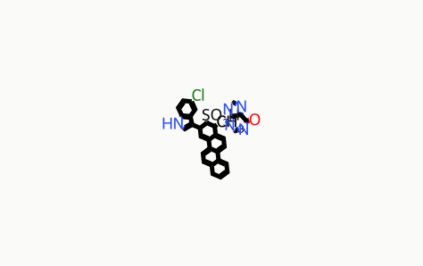 CC1c2ccc3c4c(ccc3c2=CC(c2c[nH]c3ccc(Cl)cc23)C1S(=O)(=O)O)CC=CC=4.O=C1N=CN=C2N=CN=C12